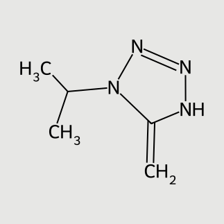 C=C1NN=NN1C(C)C